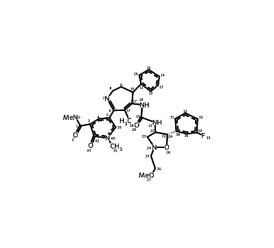 CNC(=O)c1cc(C2=NCCC(c3ccccc3)C(NC(=O)NC3CN(CCOC)O[C@H]3c3cccc(F)c3)=C2C)cn(C)c1=O